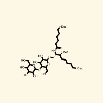 CCCCCCCCCCCCC/C=C/[C@H](OC)[C@H](COC1OC(CO)C(OC2OC(CO)C(O)C(O)C2O)C(O)C1O)NC(=O)CCCCCCCCCCCCCCC